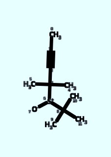 CC#CC(C)(C)[S+]([O-])C(C)(C)C